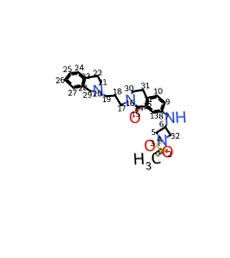 CS(=O)(=O)N1CC(Nc2ccc3c(c2)C(=O)N(CCCN2CCc4ccccc4C2)CC3)C1